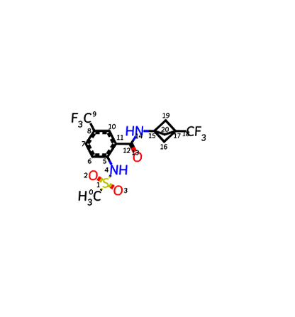 CS(=O)(=O)Nc1ccc(C(F)(F)F)cc1C(=O)NC12CC(C(F)(F)F)(C1)C2